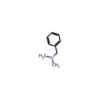 CN(C)Cc1[c]cccc1